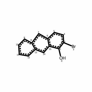 Oc1c(Br)ccc2cc3ccccc3cc12